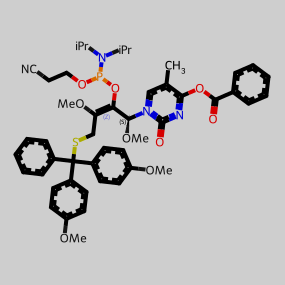 CO/C(CSC(c1ccccc1)(c1ccc(OC)cc1)c1ccc(OC)cc1)=C(\OP(OCCC#N)N(C(C)C)C(C)C)[C@H](OC)n1cc(C)c(OC(=O)c2ccccc2)nc1=O